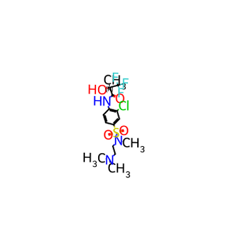 CN(C)CCN(C)S(=O)(=O)c1ccc(NC(=O)[C@@](C)(O)C(F)(F)F)c(Cl)c1